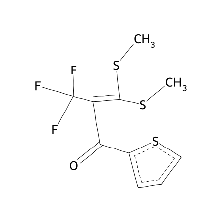 CSC(SC)=C(C(=O)c1cccs1)C(F)(F)F